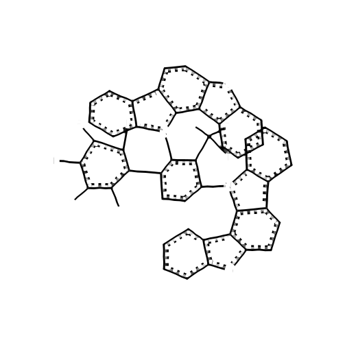 Fc1c(F)c(F)c(-c2ccc(-n3c4ccccc4c4ccc5oc6ccccc6c5c43)c(C(F)(F)F)c2-n2c3ccccc3c3ccc4oc5ccccc5c4c32)c(F)c1F